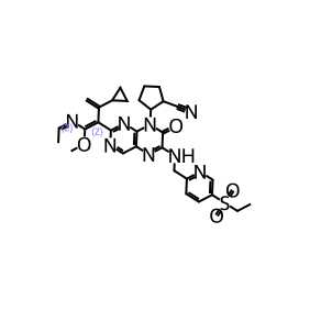 C=C(/C(=C(\N=C/C)OC)c1ncc2nc(NCc3ccc(S(=O)(=O)CC)cn3)c(=O)n(C3CCCC3C#N)c2n1)C1CC1